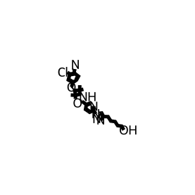 CC1(C)[C@H](NC(=O)c2ccc(-n3cc(CCCCCO)nn3)nc2)C(C)(C)[C@H]1Oc1ccc(C#N)c(Cl)c1